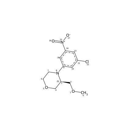 COC[C@H]1COCCN1c1cc(Cl)cc([N+](=O)[O-])c1